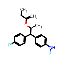 C=C(CC)O[C@@H](C)C(c1ccc(F)cc1)c1ccc(NF)cc1